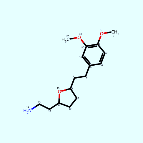 COc1ccc(CCC2CCC(CCN)O2)cc1OC